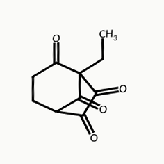 CCC12C(=O)CCC(C(=O)C1=O)C2=O